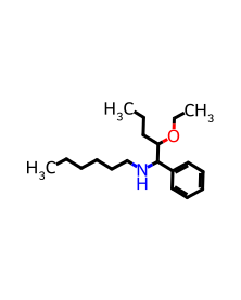 CCCCCCNC(c1ccccc1)C(CCC)OCC